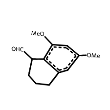 COc1cc2c(c(OC)c1)C(C=O)CCC2